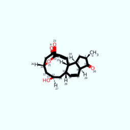 C[C@@H]1C[C@@H]2[C@H]3/C=C4\C(=O)C[C@@H](C[C@H](O)C[C@H]3C=C[C@@H]2C1=O)OC4=O